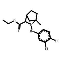 CCOC(=O)C1C2CCC(C)(C2)N1Nc1ccc(Cl)c(Cl)c1